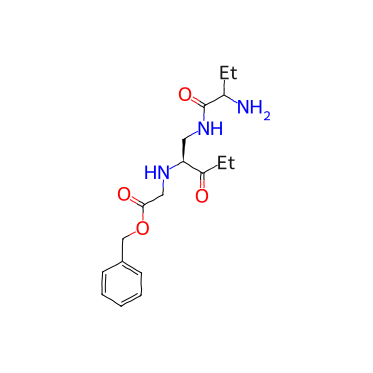 CCC(=O)[C@H](CNC(=O)C(N)CC)NCC(=O)OCc1ccccc1